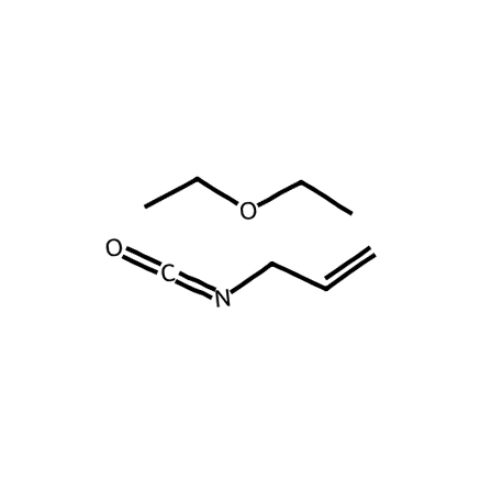 C=CCN=C=O.CCOCC